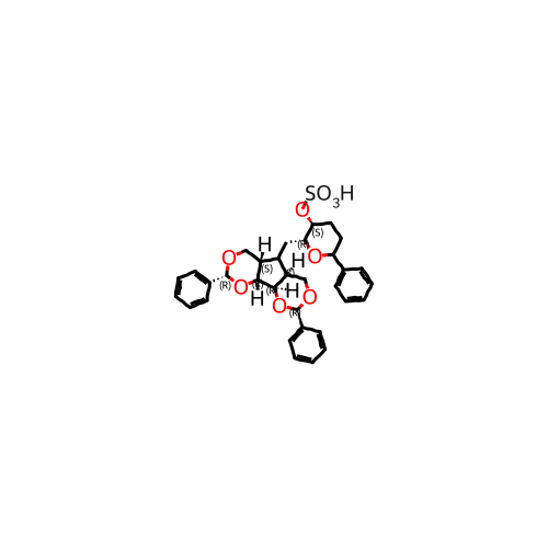 O=S(=O)(O)O[C@H]1CCC(c2ccccc2)O[C@@H]1CC1[C@H]2CO[C@@H](c3ccccc3)O[C@H]2[C@@H]2O[C@H](c3ccccc3)OC[C@H]12